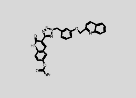 CCCC(=O)Oc1ccc2[nH]c(=O)c(-c3nnn(Cc4cccc(OCc5ccc6ccccc6n5)c4)n3)cc2c1